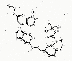 CCOC(=O)/C=C(\c1cccc(C)c1)n1ccc2cc(OCCc3ccc4c(n3)N(C(=O)OC(C)(C)C)CCC4)ccc21